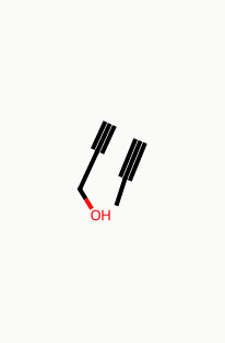 C#CC.C#CCO